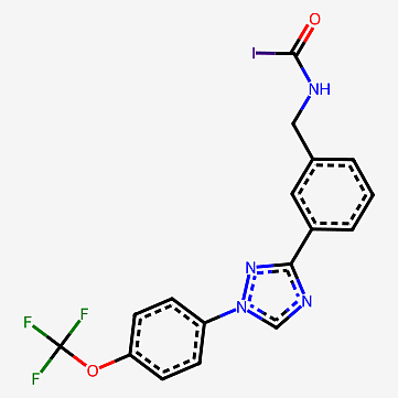 O=C(I)NCc1cccc(-c2ncn(-c3ccc(OC(F)(F)F)cc3)n2)c1